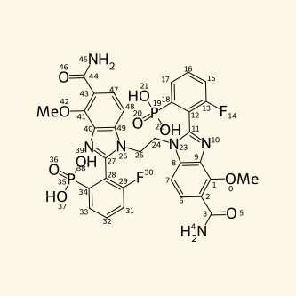 COc1c(C(N)=O)ccc2c1nc(-c1c(F)cccc1P(=O)(O)O)n2CCn1c(-c2c(F)cccc2P(=O)(O)O)nc2c(OC)c(C(N)=O)ccc21